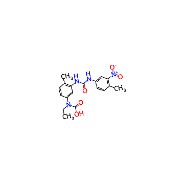 CCN(C(=O)O)c1ccc(C)c(NC(=O)Nc2ccc(C)c([N+](=O)[O-])c2)c1